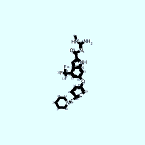 CNC(N)=NC(=O)c1cc2c(C(F)(F)F)cc(Oc3ccc(CN4CCCCC4)cc3)cc2[nH]1